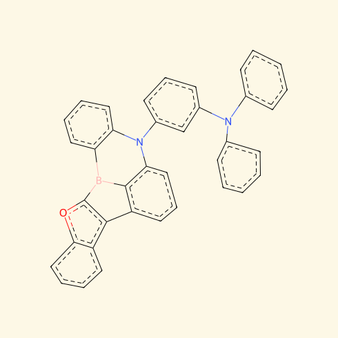 c1ccc(N(c2ccccc2)c2cccc(N3c4ccccc4B4c5oc6ccccc6c5-c5cccc3c54)c2)cc1